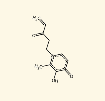 C=CC(=O)CCn1ccc(=O)c(O)c1C